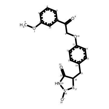 COc1cccc(C(=O)COc2ccc(CC3S[S+]([O-])NC3=O)cc2)c1